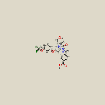 COC(=O)c1ccc([C@H](C)NC(=O)C2(N3CC[C@@H](Oc4cccc(OC(F)(F)F)c4)C3)CCOCC2)cc1